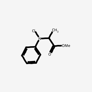 COC(=O)C(C)N(Cl)c1ccccc1